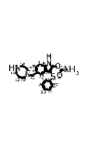 NC(=O)Oc1[nH]c2ccc(CN3CCCNCC3)cc2c1Sc1ccccc1